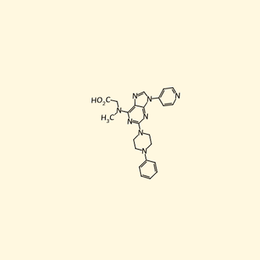 CN(CC(=O)O)c1nc(N2CCN(c3ccccc3)CC2)nc2c1ncn2-c1ccncc1